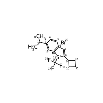 CC(C)c1ccc2cc(C3CCC3)[s+](C(F)(F)F)c2c1.[Br-]